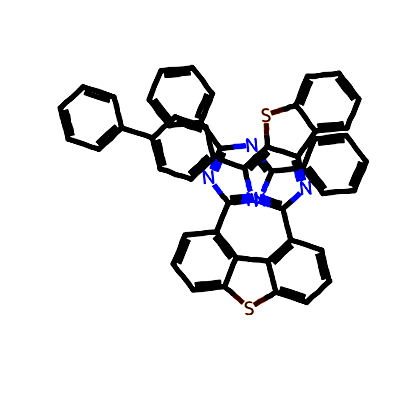 c1ccc(-c2ccc(-c3nc(-c4cccc5sc6cccc(-c7nc(-c8ccccc8)nc(-c8ccccc8)n7)c6c45)nc4c3sc3ccccc34)cc2)cc1